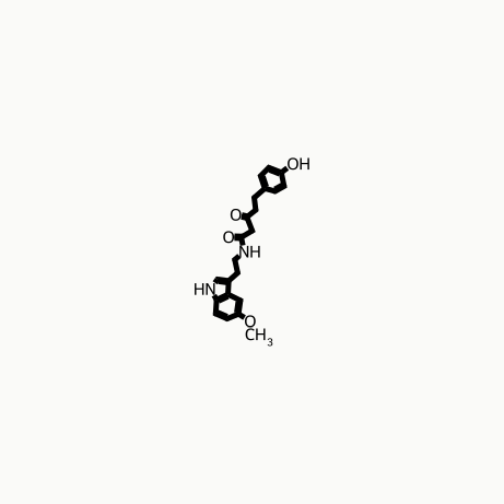 COc1ccc2[nH]cc(CCNC(=O)CC(=O)CCc3ccc(O)cc3)c2c1